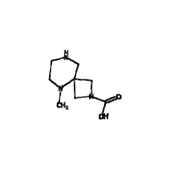 CN1CCNCC12CN(C(=O)O)C2